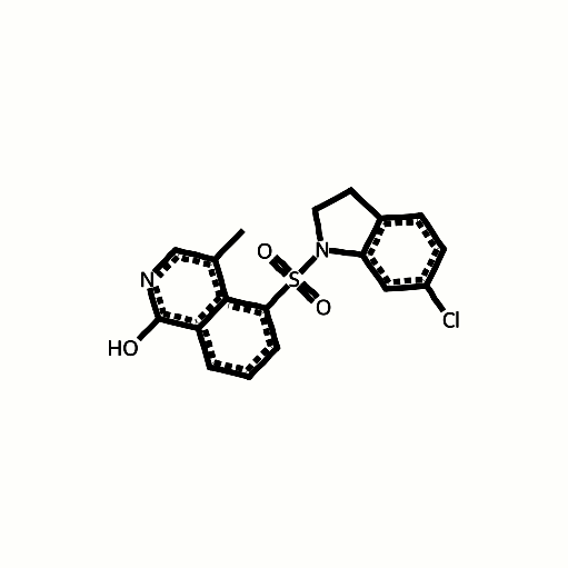 Cc1cnc(O)c2cccc(S(=O)(=O)N3CCc4ccc(Cl)cc43)c12